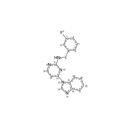 Fc1cccc(CNc2nccc(-n3cnc4ccccc43)n2)c1